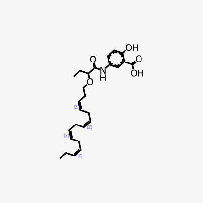 CC/C=C\C/C=C\C/C=C\C/C=C\CCOC(CC)C(=O)Nc1ccc(O)c(C(=O)O)c1